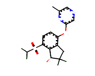 Cc1cncc(Oc2ccc(S(=O)(=O)C(F)F)c3c2CC(F)(F)[C@H]3O)n1